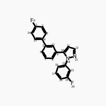 Fc1ccc(-c2cccc(-c3ccnn3-c3cccc(F)c3)c2)cc1